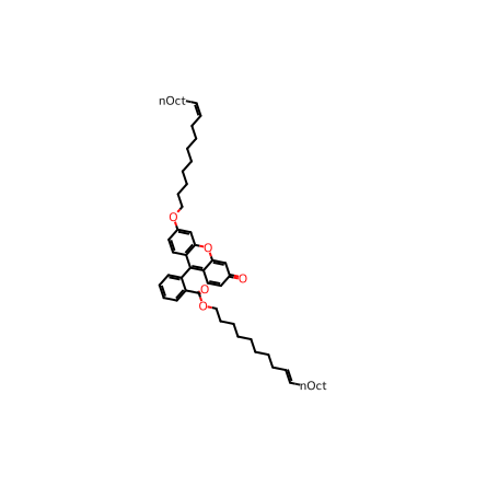 CCCCCCCCC=CCCCCCCCCOC(=O)c1ccccc1-c1c2ccc(=O)cc-2oc2cc(OCCCCCCCC/C=C\CCCCCCCC)ccc12